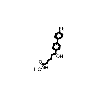 CCc1ccc(-c2ccc(C(O)CCCCC(=O)NO)cc2)cc1